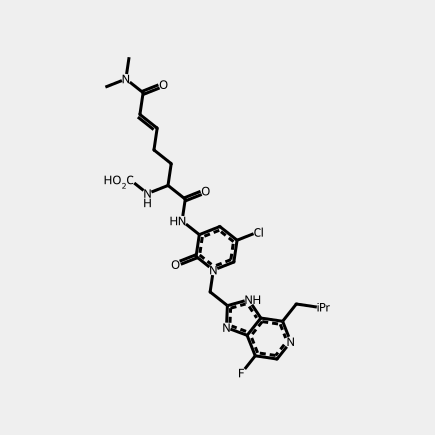 CC(C)Cc1ncc(F)c2nc(Cn3cc(Cl)cc(NC(=O)C(CCC=CC(=O)N(C)C)NC(=O)O)c3=O)[nH]c12